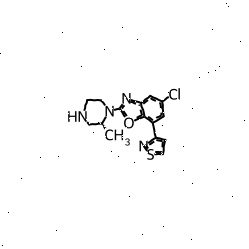 C[C@H]1CNCCN1c1nc2cc(Cl)cc(-c3ccsn3)c2o1